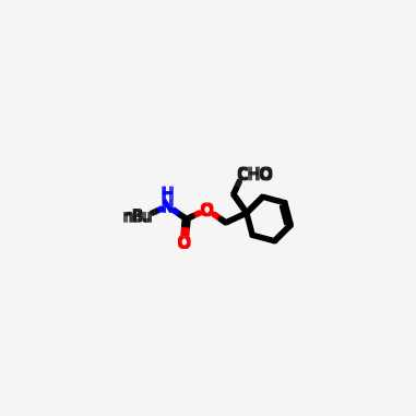 CCCCNC(=O)OCC1(CC=O)CC=CCC1